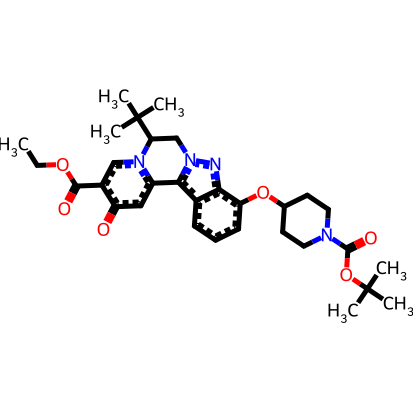 CCOC(=O)c1cn2c(cc1=O)-c1c3cccc(OC4CCN(C(=O)OC(C)(C)C)CC4)c3nn1CC2C(C)(C)C